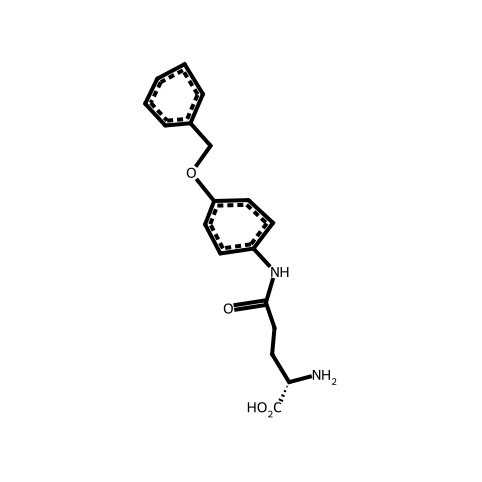 N[C@@H](CCC(=O)Nc1ccc(OCc2ccccc2)cc1)C(=O)O